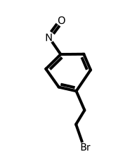 O=Nc1ccc(CCBr)cc1